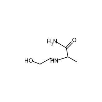 CC(NCCO)C(N)=O